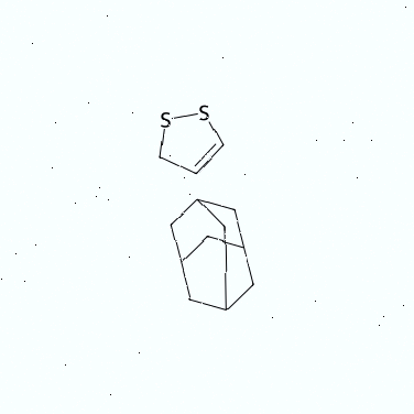 C1=CSSC1.C1C2CC3CC1CC(C2)C3